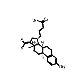 C[C@]12CC[C@@H]3c4ccc(O)cc4CC[C@H]3[C@@H]1[C@H](CCCC(=O)Br)CC2=C(F)F